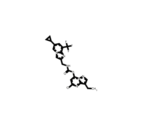 CCc1cnn2c(OC(=O)NCc3cn4cc(C5CC5)cc(C(F)(F)F)c4n3)cc(Cl)nc12